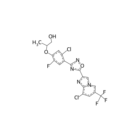 CC(CO)Oc1cc(Cl)c(-c2noc(-c3cn4cc(C(F)(F)F)cc(Cl)c4n3)n2)cc1F